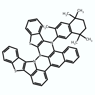 Cc1cc2c(cc1N1c3c4c(cc5ccccc35)-c3cccc5c6sc7ccccc7c6n(c35)B4c3sc4ccccc4c31)C(C)(C)CCC2(C)C